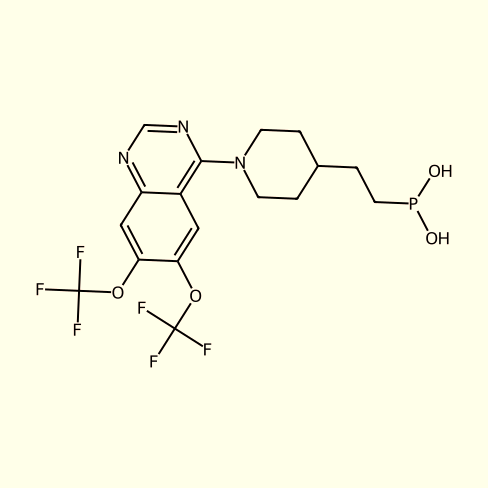 OP(O)CCC1CCN(c2ncnc3cc(OC(F)(F)F)c(OC(F)(F)F)cc23)CC1